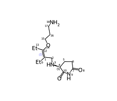 CC/C(CN[C@H]1CCC(=O)NC1=O)=C(\CC)OCCCN